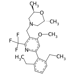 CCc1cccc(CC)c1-c1cc(OC)c(CN2C[C@@H](C)O[C@H](C)C2)c(C(F)(F)F)n1